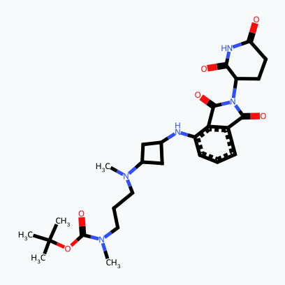 CN(CCCN(C)C1CC(Nc2cccc3c2C(=O)N(C2CCC(=O)NC2=O)C3=O)C1)C(=O)OC(C)(C)C